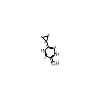 Oc1cnc(C2CC2)cn1